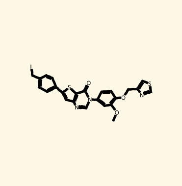 COc1cc(-n2cnc3cc(-c4ccc(CI)cc4)sc3c2=O)ccc1OCc1cscn1